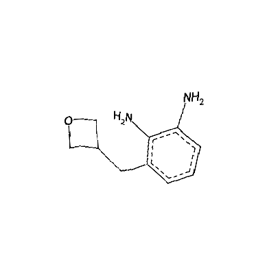 Nc1cccc(CC2COC2)c1N